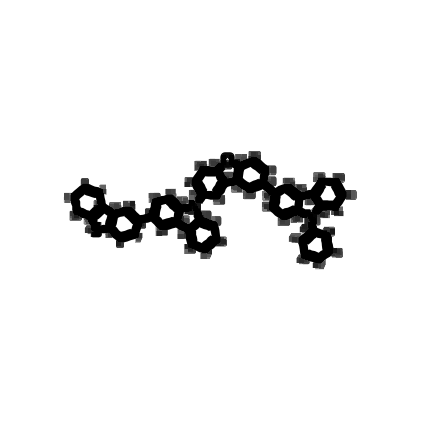 C1=Cc2c(sc3ccc(-c4ccc5c(c4)c4ccccc4n5-c4ccc5oc6ccc(-c7ccc8c(c7)c7ccccc7n8-c7ccccc7)cc6c5c4)cc23)CC1